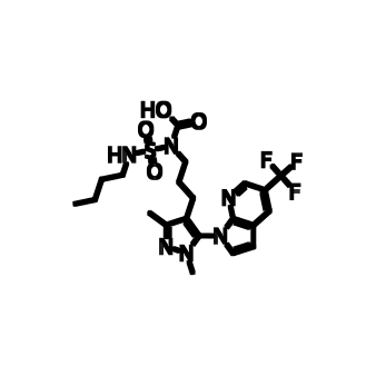 CCCCNS(=O)(=O)N(CCCc1c(C)nn(C)c1-n1ccc2cc(C(F)(F)F)cnc21)C(=O)O